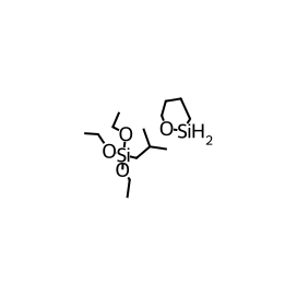 C1CC[SiH2]OC1.CCO[Si](CC(C)C)(OCC)OCC